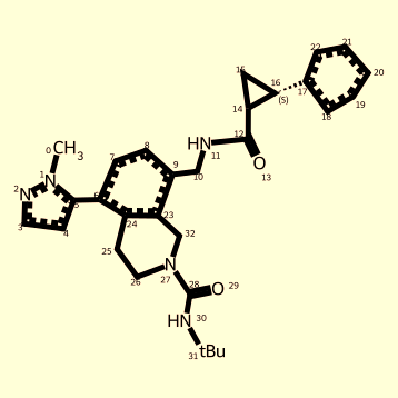 Cn1nccc1-c1ccc(CNC(=O)C2C[C@@H]2c2ccccc2)c2c1CCN(C(=O)NC(C)(C)C)C2